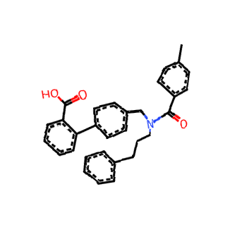 Cc1ccc(C(=O)N(CCCc2ccccc2)Cc2ccc(-c3ccccc3C(=O)O)cc2)cc1